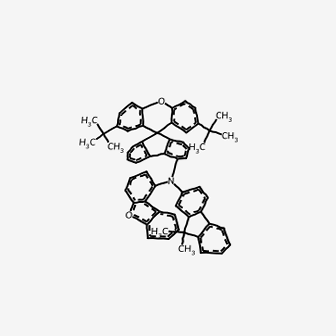 CC(C)(C)c1ccc2c(c1)C1(c3cc(C(C)(C)C)ccc3O2)c2ccccc2-c2c(N(c3ccc4c(c3)C(C)(C)c3ccccc3-4)c3cccc4oc5ccccc5c34)cccc21